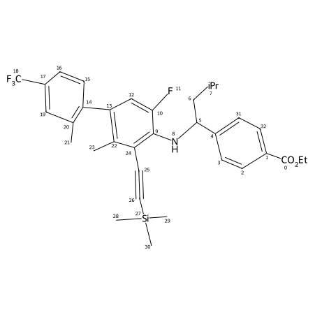 CCOC(=O)c1ccc(C(CC(C)C)Nc2c(F)cc(-c3ccc(C(F)(F)F)cc3C)c(C)c2C#C[Si](C)(C)C)cc1